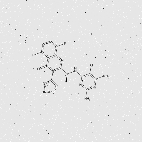 C[C@H](Nc1nc(N)nc(N)c1Cl)c1nc2c(F)ccc(F)c2c(=O)n1-c1cc[nH]n1